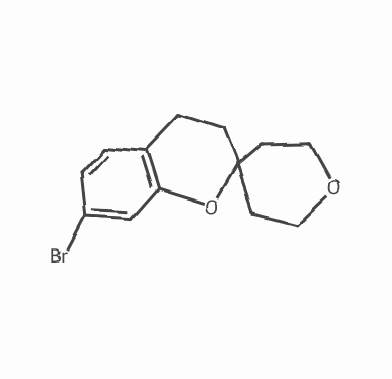 Brc1ccc2c(c1)OC1(CCOCC1)CC2